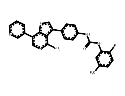 Nc1ncc(-c2cccnc2)c2scc(-c3ccc(NC(=O)Nc4cc(C(F)(F)F)ccc4F)cc3)c12